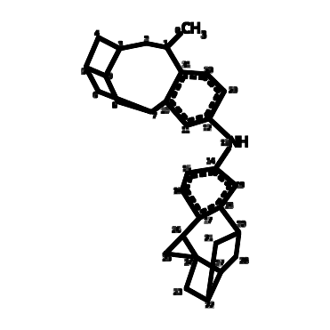 CC1CC2CC3CC(CC23)c2cc(Nc3ccc4c(c3)C3CC5CC6(CC46)C5C3)ccc21